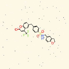 O=c1cc(C(F)(F)F)c2cc(Cc3ccc(S(=O)(=O)NCc4ccc5c(c4)CCO5)cc3)ccc2o1